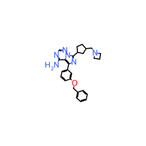 Nc1ncnn2c(C3CCC(CN4CCC4)C3)nc(-c3cccc(OCc4ccccc4)c3)c12